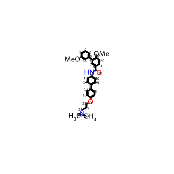 COc1cccc(-c2cc(C(=O)Nc3ccc(-c4ccc(OCCCN(C)C)cc4)cc3)ccc2OC)c1